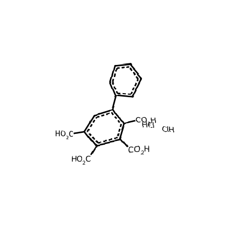 Cl.Cl.O=C(O)c1cc(-c2ccccc2)c(C(=O)O)c(C(=O)O)c1C(=O)O